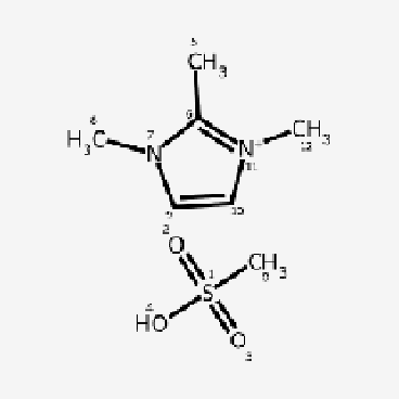 CS(=O)(=O)O.Cc1n(C)cc[n+]1C